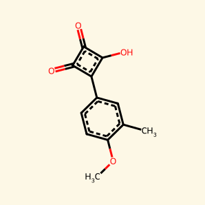 COc1ccc(-c2c(O)c(=O)c2=O)cc1C